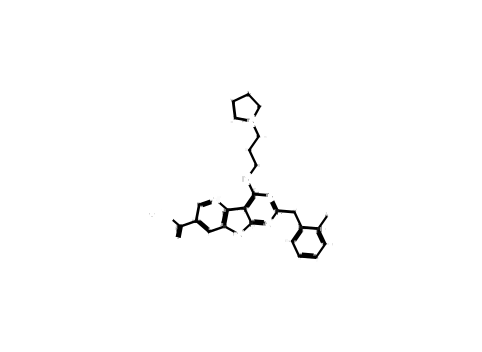 COC(=O)c1cnc2c(c1)[nH]c1nc(Cc3ccccc3C)nc(NCCCN3CCCC3)c12